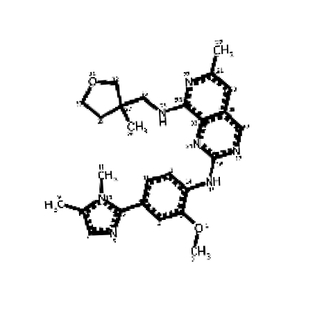 COc1cc(-c2ncc(C)n2C)ccc1Nc1ncc2cc(C)nc(NCC3(C)CCOC3)c2n1